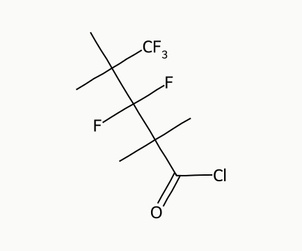 CC(C)(C(=O)Cl)C(F)(F)C(C)(C)C(F)(F)F